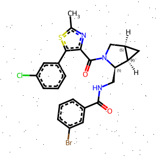 Cc1nc(C(=O)N2C[C@H]3C[C@H]3[C@H]2CNC(=O)c2cccc(Br)c2)c(-c2cccc(Cl)c2)s1